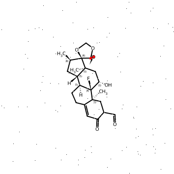 C[C@@H]1C[C@H]2[C@@H]3CCC4=CC(=O)C(C=O)C[C@]4(C)[C@@]3(F)[C@@H](O)C[C@]2(C)[C@]12OCOC21COCO1